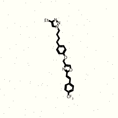 [CH2]Cc1cn(CCCCc2ccc(OCc3coc(/C=C/c4ccc(C(F)(F)F)cc4)n3)cc2)nn1